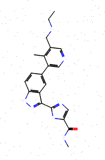 CCNCc1cncc(-c2ccc3[nH]nc(-c4ncc(C(=O)NC)[nH]4)c3c2)c1C